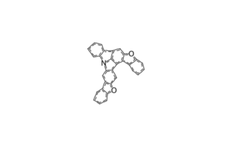 c1ccc2c(c1)oc1cc3c4c5c(cc6c7ccccc7n(c3cc12)c64)oc1ccccc15